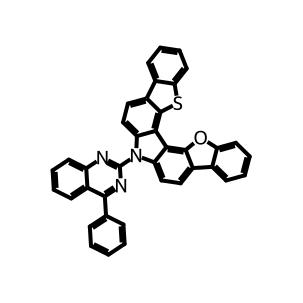 c1ccc(-c2nc(-n3c4ccc5c6ccccc6oc5c4c4c5sc6ccccc6c5ccc43)nc3ccccc23)cc1